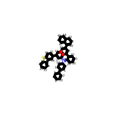 c1ccc(-c2ccc(N(c3cccc(-c4ccc5sc6ccccc6c5c4)c3)c3ccccc3-c3cccc(-c4cccc5ccccc45)c3)cc2)cc1